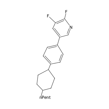 CCCCCC1CCC(c2ccc(-c3cnc(F)c(F)c3)cc2)CC1